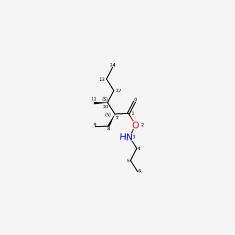 C=C(ONCCC)[C@@H](CC)[C@@H](C)CCC